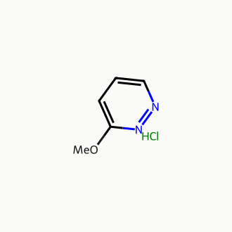 COc1cccnn1.Cl